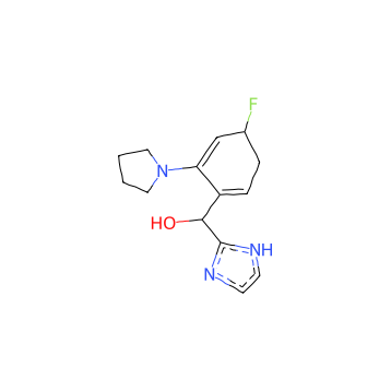 OC(C1=CCC(F)C=C1N1CCCC1)c1ncc[nH]1